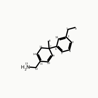 CCc1cccc(C2(C)C=CC(CN)=CC2)c1